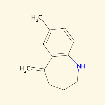 C=C1CCCNc2ccc(C)cc21